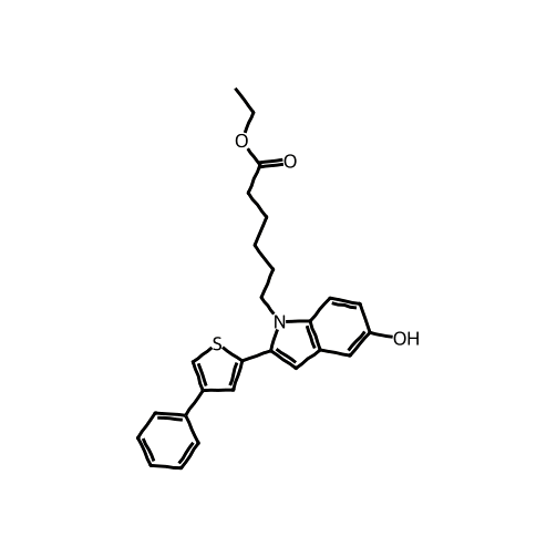 CCOC(=O)CCCCCn1c(-c2cc(-c3ccccc3)cs2)cc2cc(O)ccc21